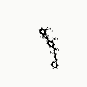 CCOc1cc(C(=O)NCCCN2CCOCC2)ccc1-c1nc2c(C)cccc2[nH]1